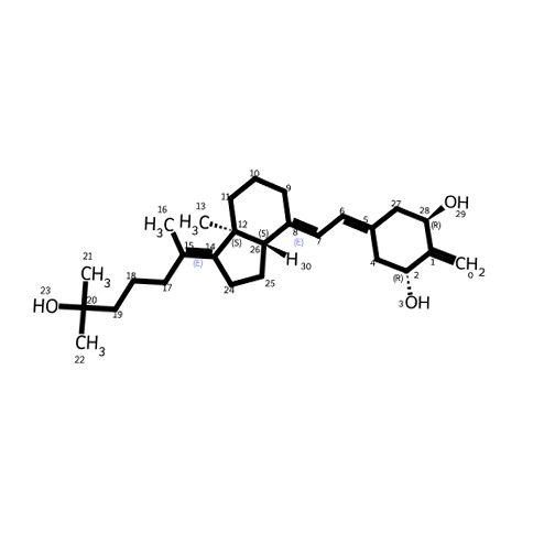 C=C1[C@H](O)CC(=C/C=C2\CCC[C@]3(C)/C(=C(\C)CCCC(C)(C)O)CC[C@@H]23)C[C@H]1O